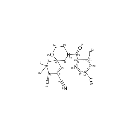 CC1(C)CC2(C=C(C#N)C1=O)CN(C(=O)c1ncc(Cl)cc1F)CCO2